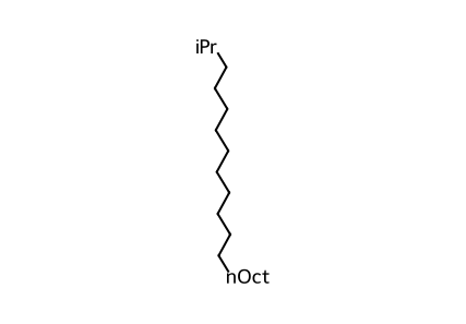 [CH2]CCCCCCCCCCCCCCCCCC([CH2])C